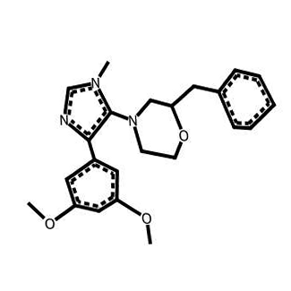 COc1cc(OC)cc(-c2ncn(C)c2N2CCOC(Cc3ccccc3)C2)c1